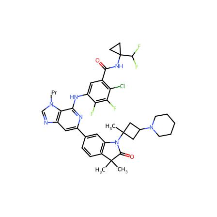 CC(C)n1cnc2cc(-c3ccc4c(c3)N(C3(C)CC(N5CCCCC5)C3)C(=O)C4(C)C)nc(Nc3cc(C(=O)NC4(C(F)F)CC4)c(Cl)c(F)c3F)c21